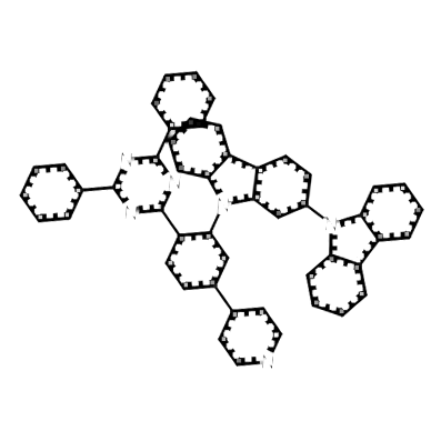 c1ccc(-c2nc(-c3ccccc3)nc(-c3ccc(-c4ccncc4)cc3-n3c4ccccc4c4ccc(-n5c6ccccc6c6ccccc65)cc43)n2)cc1